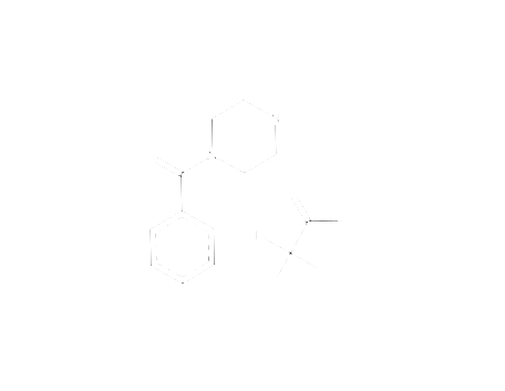 O=C(O)C(F)(F)F.O=C(c1ccccc1)N1CCNCC1